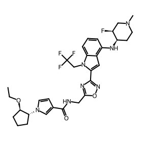 CCO[C@@H]1CCC[C@H]1n1ccc(C(=O)NCc2nc(-c3cc4c(N[C@@H]5CCN(C)C[C@@H]5F)cccc4n3CC(F)(F)F)no2)c1